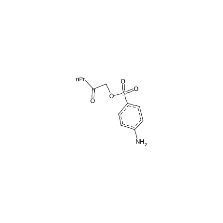 CCCC(=O)COS(=O)(=O)c1ccc(N)cc1